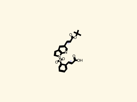 CC(C)(C)OC(=O)/C=C/c1cnc2c(ccn2S(=O)(=O)c2ccccc2/C=C/C(=O)O)c1